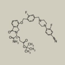 CC(C)(C)OC(=O)CC[C@@H](C(N)=O)N1Cc2c(OCc3ccc(CN4CCN(c5ccc(C#N)cc5F)CC4)cc3F)cccc2C1=O